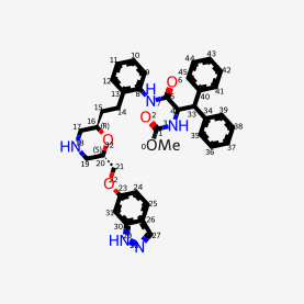 COC(=O)NC(C(=O)Nc1ccccc1CC[C@@H]1CNC[C@@H](COc2ccc3cn[nH]c3c2)O1)C(c1ccccc1)c1ccccc1